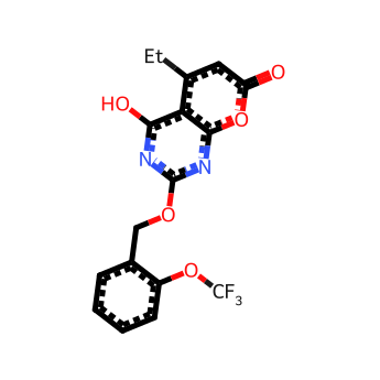 CCc1cc(=O)oc2nc(OCc3ccccc3OC(F)(F)F)nc(O)c12